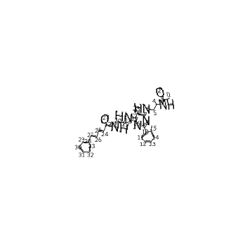 CC(=O)NCCNc1nc(-c2ccccc2)nc(NCCNC(=O)C=CC=Cc2ccccc2)c1C